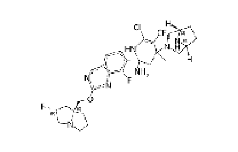 CC1(N2C[C@H]3CC[C@@H](C2)N3)CC(N)(c2ccc3cnc(OC[C@@]45CCCN4C[C@H](F)C5)nc3c2F)NC(Cl)=C1C(F)(F)F